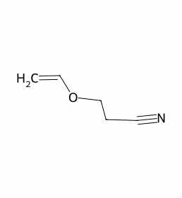 C=COCCC#N